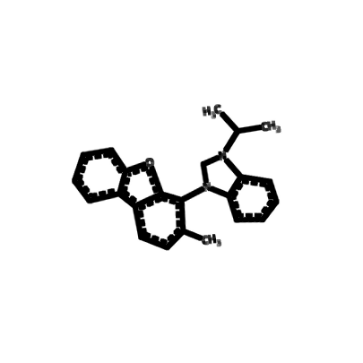 Cc1ccc2c(oc3ccccc32)c1N1CN(C(C)C)c2ccccc21